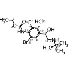 CCOC(=O)Nc1c(F)cc(C(O)CNC(C)(C)C)cc1Br.Cl